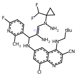 Cc1nc(F)ccc1C(Nc1cc(Cl)c2ncc(C#N)c(NCC(C)(C)C)c2c1)/C(N)=C/N(N)C1(C(F)F)CC1